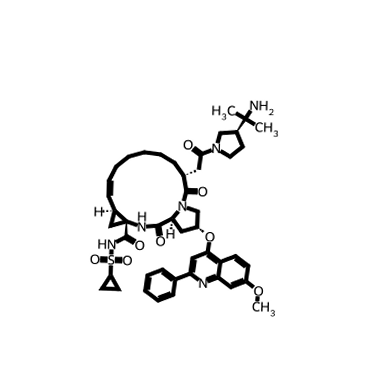 COc1ccc2c(O[C@@H]3C[C@H]4C(=O)N[C@]5(C(=O)NS(=O)(=O)C6CC6)C[C@H]5/C=C\CCCCC[C@H](CC(=O)N5CC[C@H](C(C)(C)N)C5)C(=O)N4C3)cc(-c3ccccc3)nc2c1